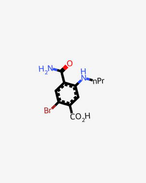 CCCNc1cc(C(=O)O)c(Br)cc1C(N)=O